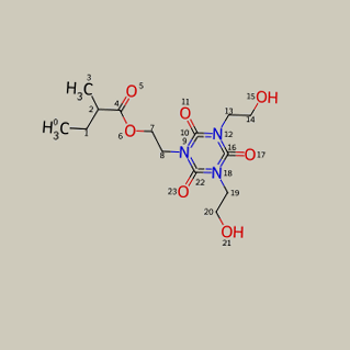 CCC(C)C(=O)OCCn1c(=O)n(CCO)c(=O)n(CCO)c1=O